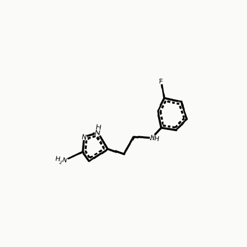 Nc1cc(CCNc2cccc(F)c2)[nH]n1